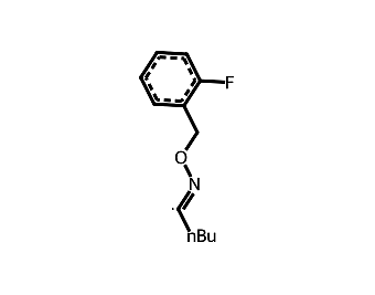 CCCC/[C]=N/OCc1ccccc1F